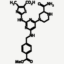 COC(=O)c1ccc(CNc2cc(N3CCNC(C(N)=O)C3)nc(Nc3nc(C)c(C(=O)O)s3)n2)cc1